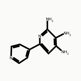 Nc1cc(-c2ccncc2)nc(N)c1N